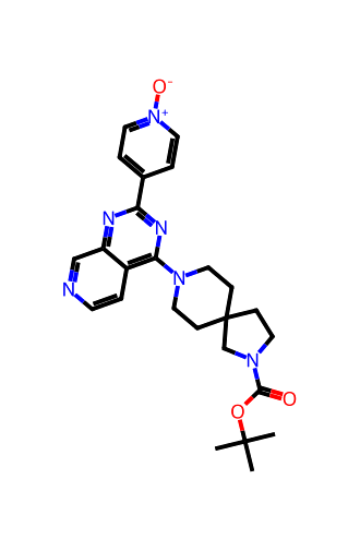 CC(C)(C)OC(=O)N1CCC2(CCN(c3nc(-c4cc[n+]([O-])cc4)nc4cnccc34)CC2)C1